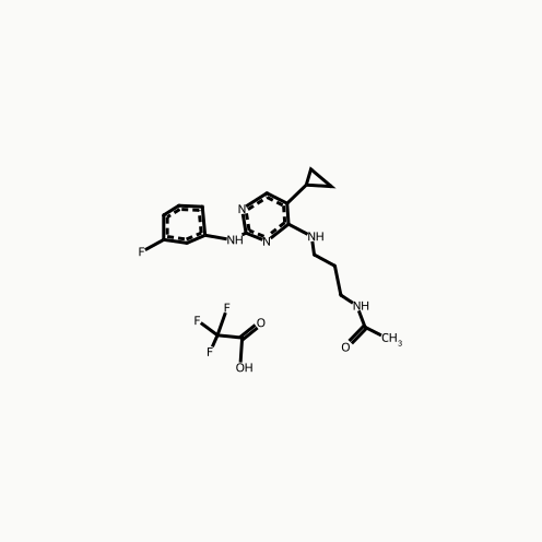 CC(=O)NCCCNc1nc(Nc2cccc(F)c2)ncc1C1CC1.O=C(O)C(F)(F)F